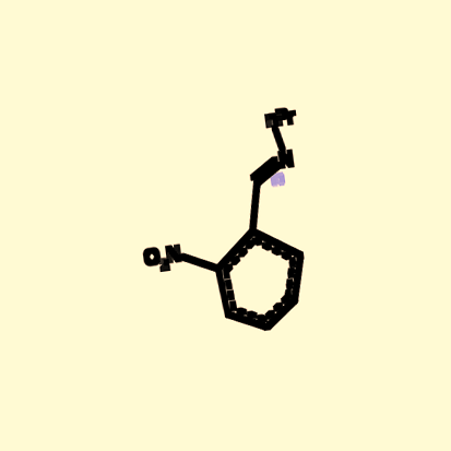 CCC/N=C/c1ccccc1[N+](=O)[O-]